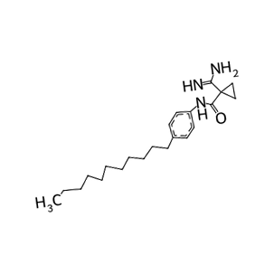 CCCCCCCCCCCc1ccc(NC(=O)C2(C(=N)N)CC2)cc1